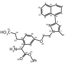 Cc1cc(-c2cccc3ccccc23)nn1CCOc1ccc(CCC(=O)O)c(C(N)C(=O)OC(C)C)c1